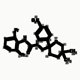 CC(C)c1cccc(C(C)C)c1NC(=O)NCC1(c2ccc([N+](=O)[O-])cc2)OCC(C)(C)CO1